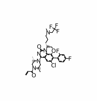 C=CC(=O)N1C[C@H](C)N(c2nc(=O)n3c4c(c(-c5ccc(F)cc5F)c(Cl)cc24)OC[C@H]3CCCN(C)CC(F)(F)F)C[C@H]1C